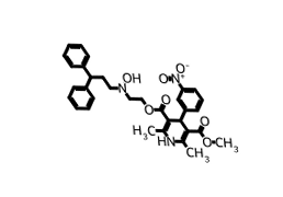 COC(=O)C1=C(C)NC(C)=C(C(=O)OCCN(O)CCC(c2ccccc2)c2ccccc2)C1c1cccc([N+](=O)[O-])c1